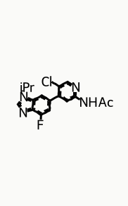 CC(=O)Nc1cc(-c2cc(F)c3ncn(C(C)C)c3c2)c(Cl)cn1